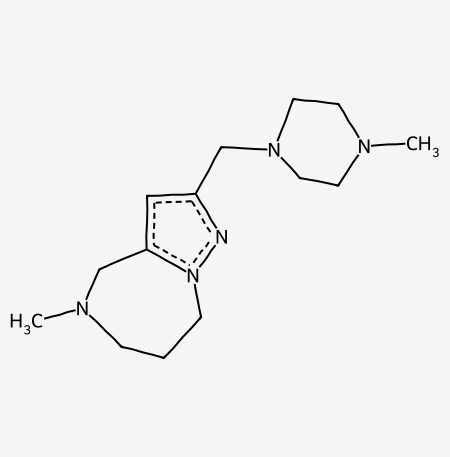 CN1CCN(Cc2cc3n(n2)CCCN(C)C3)CC1